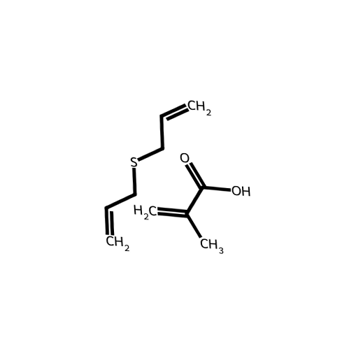 C=C(C)C(=O)O.C=CCSCC=C